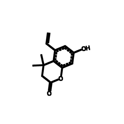 C=Cc1cc(O)cc2c1C(C)(C)CC(=O)O2